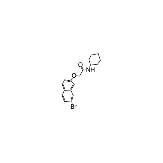 O=C(COc1ccc2ccc(Br)cc2c1)NC1CCCCC1